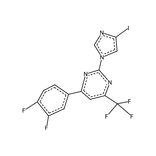 Fc1ccc(-c2cc(C(F)(F)F)nc(-n3cnc(I)c3)n2)cc1F